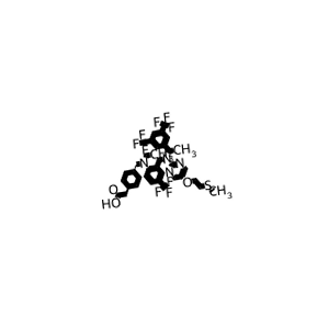 CCN(C[C@H]1CC[C@H](CC(=O)O)CC1)c1ccc(C(F)(F)F)cc1CN(c1ncc(OCCSC)cn1)C(C)c1cc(C(F)(F)F)cc(C(F)(F)F)c1